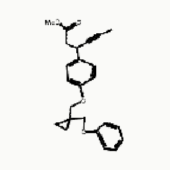 CC#CC(CC(=O)OC)c1ccc(OCC2(COc3ccccc3)CC2)cc1